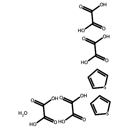 O.O=C(O)C(=O)O.O=C(O)C(=O)O.O=C(O)C(=O)O.O=C(O)C(=O)O.c1ccsc1.c1ccsc1